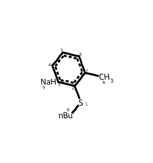 CCCCSc1ccccc1C.[NaH]